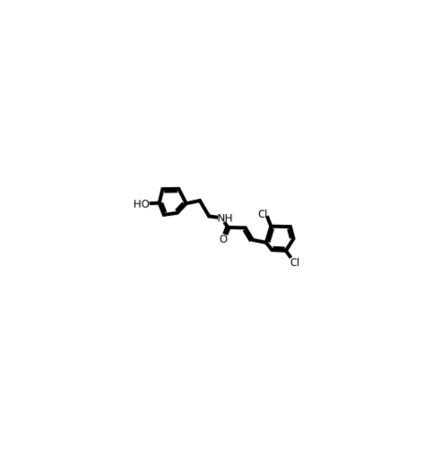 O=C(C=Cc1cc(Cl)ccc1Cl)NCCc1ccc(O)cc1